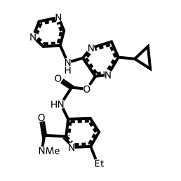 CCc1ccc(NC(=O)Oc2nc(C3CC3)cnc2Nc2cncnc2)c(C(=O)NC)n1